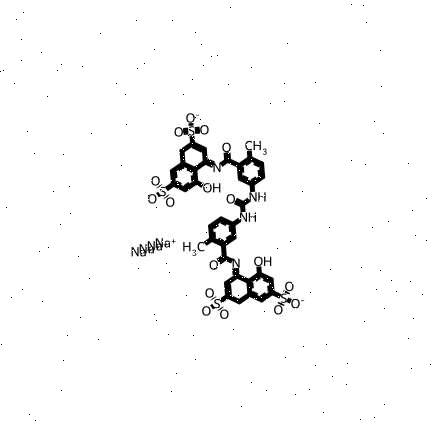 Cc1ccc(NC(=O)Nc2ccc(C)c(C(=O)N=C3C=C(S(=O)(=O)[O-])Cc4cc(S(=O)(=O)[O-])cc(O)c43)c2)cc1C(=O)N=C1C=C(S(=O)(=O)[O-])Cc2cc(S(=O)(=O)[O-])cc(O)c21.[Na+].[Na+].[Na+].[Na+]